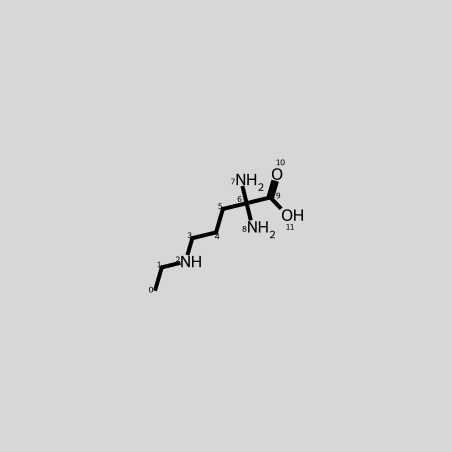 CCNCCCC(N)(N)C(=O)O